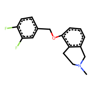 CN1CCc2c(cccc2OCc2ccc(F)c(F)c2)C1